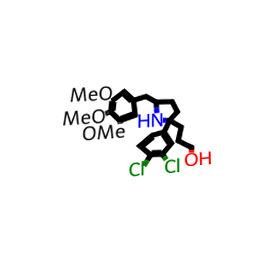 COc1cc(CC2CCC(CCCO)(c3ccc(Cl)c(Cl)c3)N2)cc(OC)c1OC